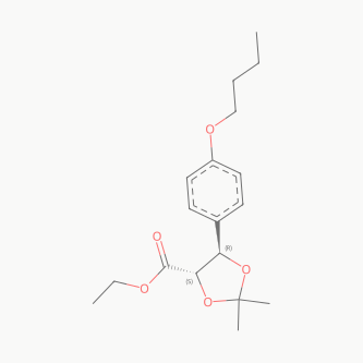 CCCCOc1ccc([C@H]2OC(C)(C)O[C@@H]2C(=O)OCC)cc1